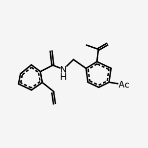 C=Cc1ccccc1C(=C)NCc1ccc(C(C)=O)cc1C(=C)C